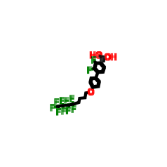 OB(O)c1ccc(-c2ccc(OCCCCC(F)(F)C(F)(F)C(F)(F)C(F)(F)F)cc2)c(F)c1F